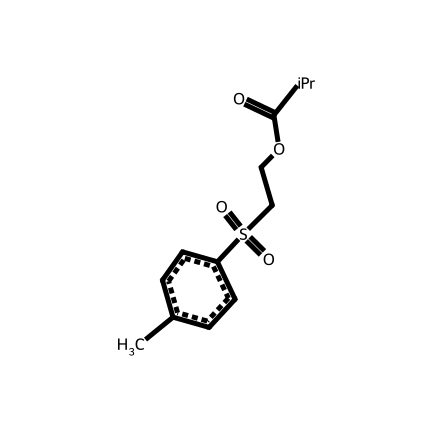 Cc1ccc(S(=O)(=O)CCOC(=O)C(C)C)cc1